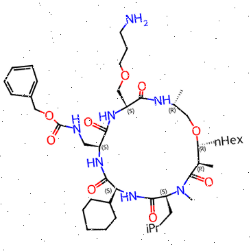 CCCCCC[C@H]1OC[C@@H](C)NC(=O)[C@H](COCCCN)NC(=O)[C@H](CNC(=O)OCc2ccccc2)NC(=O)[C@H](C2CCCCC2)NC(=O)[C@H](CC(C)C)N(C)C(=O)[C@@H]1C